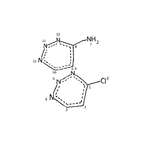 Clc1ccnnn1.Nc1ccnnn1